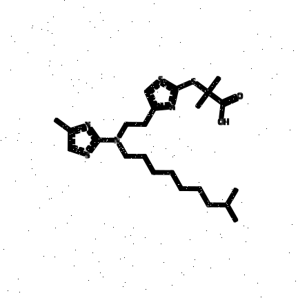 Cc1csc(N(CCCCCCCC(C)C)CCc2csc(SC(C)(C)C(=O)O)n2)n1